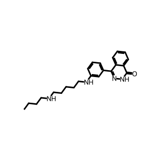 CCCCNCCCCCNc1cccc(-c2n[nH]c(=O)c3ccccc23)c1